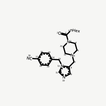 CCCCCCC(=O)N1CCN(Cc2cncn2Cc2ccc(C#N)cc2)CC1